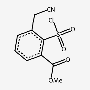 COC(=O)c1cccc(CC#N)c1S(=O)(=O)Cl